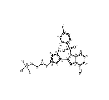 Cc1ccc(S(=O)(=O)n2c(-c3cn(COCC[Si](C)(C)C)nc3F)cc3c(Cl)ccnc32)cc1